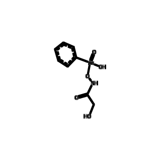 O=C(CO)NO[As](=O)(O)c1ccccc1